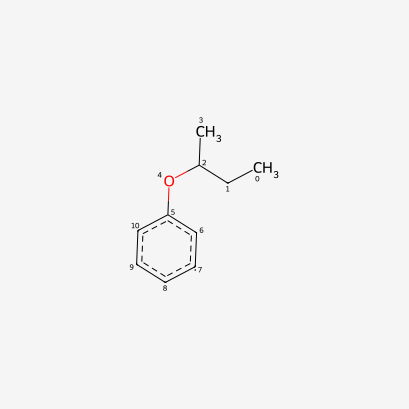 CCC(C)Oc1c[c]ccc1